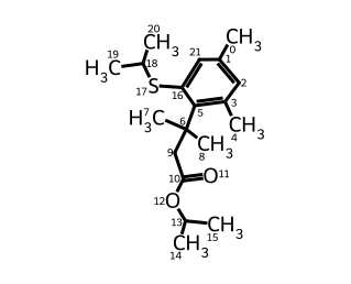 Cc1cc(C)c(C(C)(C)CC(=O)OC(C)C)c(SC(C)C)c1